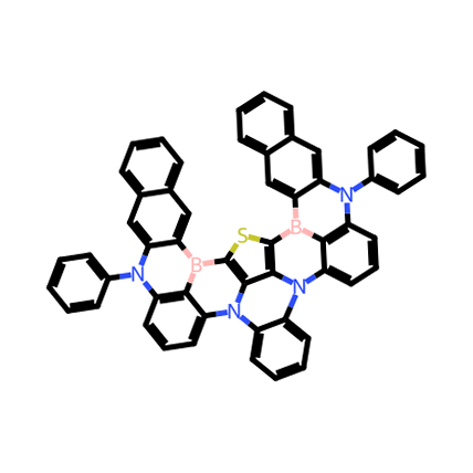 c1ccc(N2c3cc4ccccc4cc3B3c4sc5c6c4N(c4ccccc4N6c4cccc6c4B5c4cc5ccccc5cc4N6c4ccccc4)c4cccc2c43)cc1